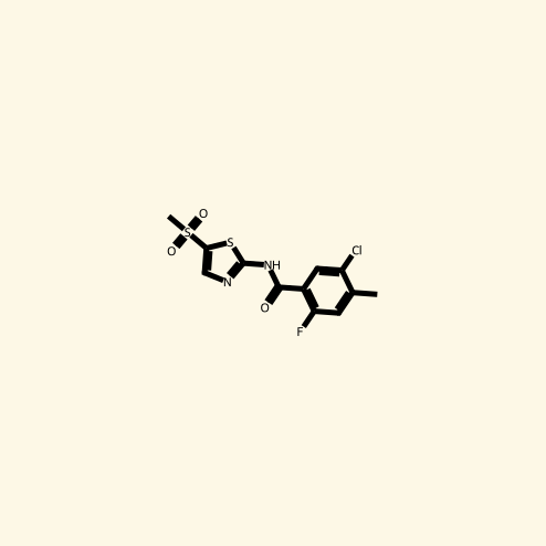 Cc1cc(F)c(C(=O)Nc2ncc(S(C)(=O)=O)s2)cc1Cl